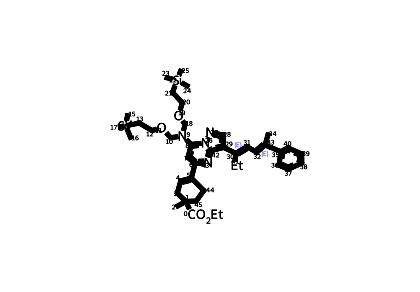 CCOC(=O)C1(C)CC=C(c2cc(N(COCC[Si](C)(C)C)COCC[Si](C)(C)C)n3ncc(/C(=C/C=C(\C)c4ccccc4)CC)c3n2)CC1